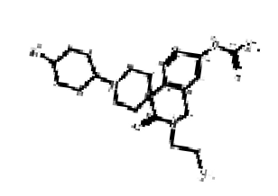 CC(C)C1CCC(N2CCC3(CC2)C(=O)N(CCN)Cc2cc(OC(N)=O)ccc23)CC1